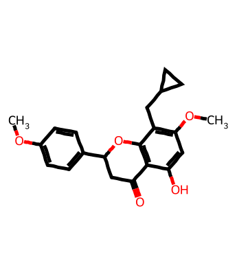 COc1ccc(C2CC(=O)c3c(O)cc(OC)c(CC4CC4)c3O2)cc1